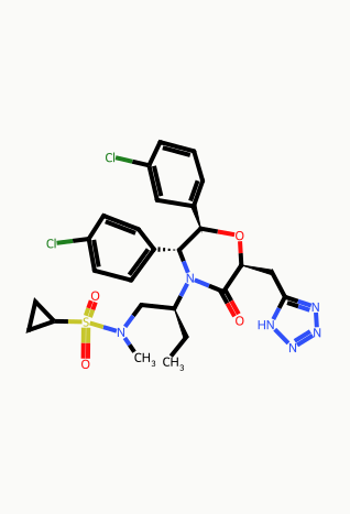 CC[C@@H](CN(C)S(=O)(=O)C1CC1)N1C(=O)[C@H](Cc2nnn[nH]2)O[C@H](c2cccc(Cl)c2)[C@H]1c1ccc(Cl)cc1